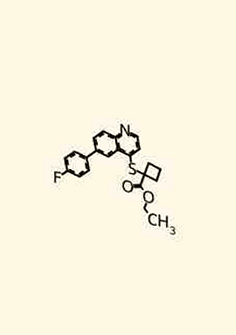 CCOC(=O)C1(Sc2ccnc3ccc(-c4ccc(F)cc4)cc23)CCC1